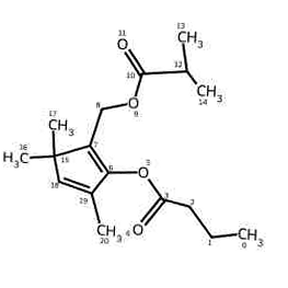 CCCC(=O)OC1=C(COC(=O)C(C)C)C(C)(C)C=C1C